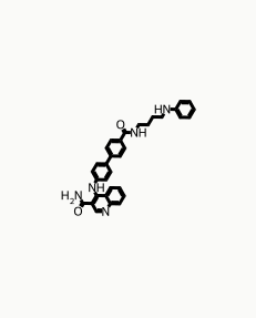 NC(=O)c1cnc2ccccc2c1Nc1ccc(-c2ccc(C(=O)NCCCCNc3ccccc3)cc2)cc1